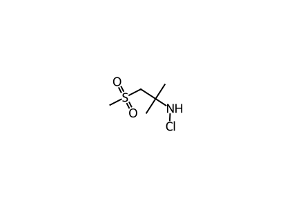 CC(C)(CS(C)(=O)=O)NCl